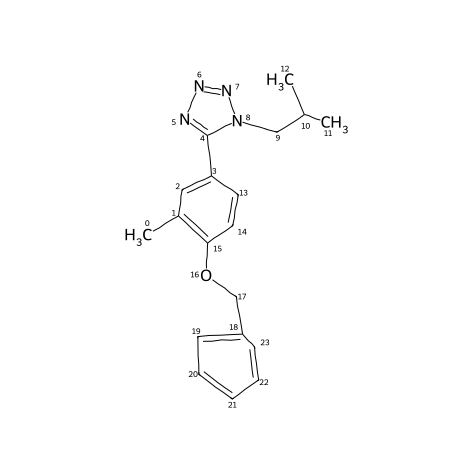 Cc1cc(-c2nnnn2CC(C)C)ccc1OCc1ccccc1